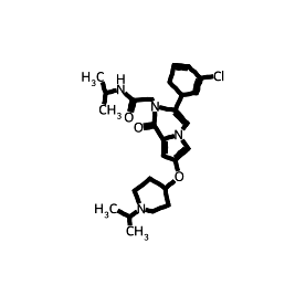 CC(C)NC(=O)Cn1c(C2C=C(Cl)C=CC2)cn2cc(OC3CCN(C(C)C)CC3)cc2c1=O